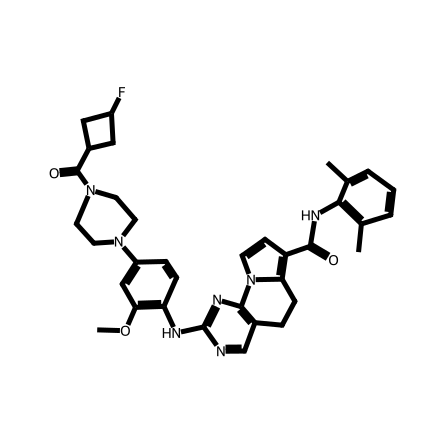 COc1cc(N2CCN(C(=O)C3CC(F)C3)CC2)ccc1Nc1ncc2c(n1)-n1ccc(C(=O)Nc3c(C)cccc3C)c1CC2